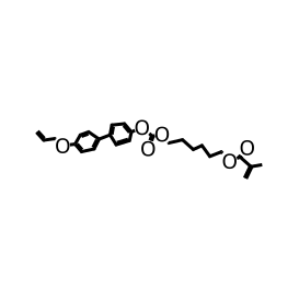 C=CCOc1ccc(-c2ccc(OC(=O)OCCCCCCOC(=O)C(=C)C)cc2)cc1